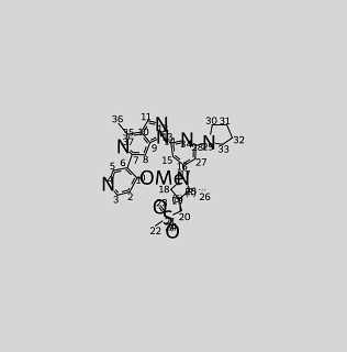 COc1ccncc1-c1cc2c(cnn2-c2cc(N3C[C@H](CS(C)(=O)=O)[C@H]3C)cc(N3CCCC3)n2)c(C)n1